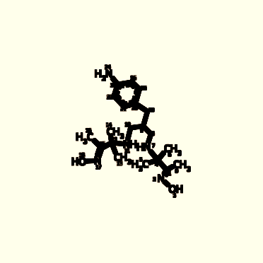 CC(=NO)C(C)(C)NCC(CNC(C)(C)C(C)=NO)Cc1ccc(N)cc1